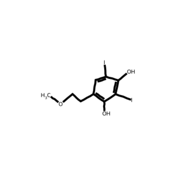 COCCc1cc(I)c(O)c(I)c1O